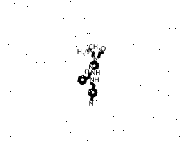 CN(C)CCN(CCC=O)c1ccc(NC(=O)C(NCCc2ccc(C#N)cc2)c2ccccc2)nc1